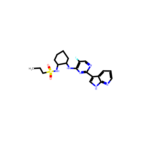 CCCS(=O)(=O)NC1CCCCC1Nc1nc(-c2c[nH]c3ncccc23)ncc1F